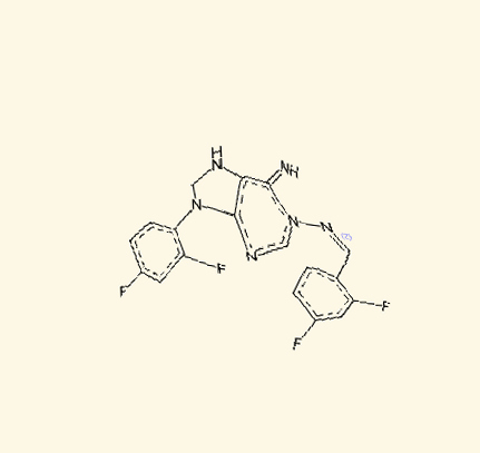 N=c1c2c(ncn1/N=C\c1ccc(F)cc1F)N(c1ccc(F)cc1F)CN2